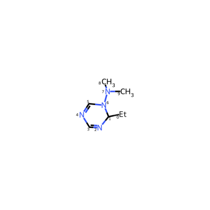 CCC1N=CN=CN1N(C)C